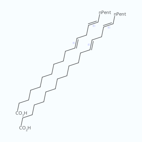 CCCCC/C=C/C/C=C/CCCCCCCCCC(=O)O.CCCCC/C=C/C/C=C/CCCCCCCCCCCC(=O)O